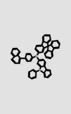 c1ccc(-n2c3ccccc3c3ccc(N(c4ccc(-c5cccc6ccccc56)cc4)c4ccc5c(c4)C4(c6ccccc6-c6ccccc64)c4ccccc4-5)cc32)cc1